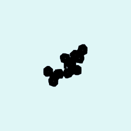 c1ccc(-n2c3ccccc3c3cc(-c4ccc5c6ccccc6n(-c6nc(-c7ccc8c9c(cccc79)-c7ccccc7-8)c7ccccc7n6)c5c4)ccc32)cc1